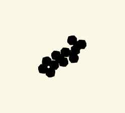 c1ccc(-n2c3ccccc3c3cc4c5ccccc5n(-c5cccc(-c6c7ccccc7c(-c7ccc8c(c7)-c7ccccc7-c7ccccc7-c7ccccc7-8)c7ccccc67)c5)c4cc32)cc1